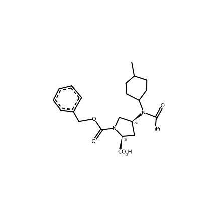 CC1CCC(N(C(=O)C(C)C)[C@H]2C[C@@H](C(=O)O)N(C(=O)OCc3ccccc3)C2)CC1